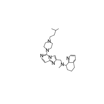 CC(C)CCN1CCN(c2nccc3nc(CN(C)C4CCCc5cccnc54)cn23)CC1